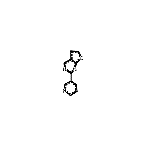 c1cncc(-c2ncc3ccoc3n2)c1